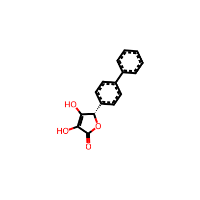 O=C1O[C@@H](c2ccc(-c3ccccc3)cc2)C(O)=C1O